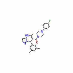 CC1=C(C(=O)N2CCN(c3ccc(F)cc3)CC2)C(c2cc(C)cc(C)c2)n2nccc2N1